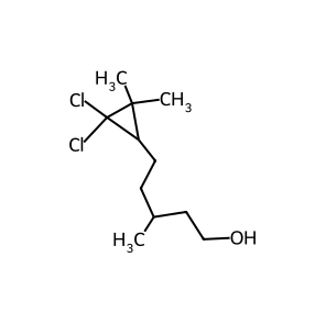 CC(CCO)CCC1C(C)(C)C1(Cl)Cl